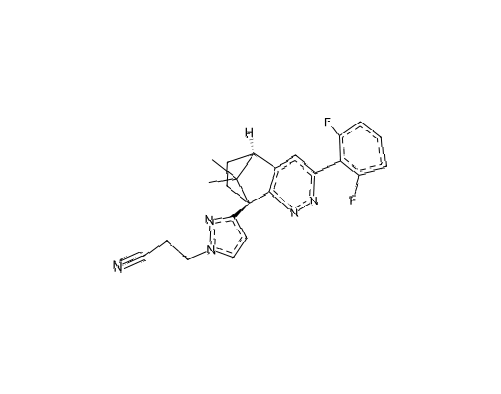 CC1(C)[C@H]2CC[C@@]1(c1ccn(CCC#N)n1)c1nnc(-c3c(F)cccc3F)cc12